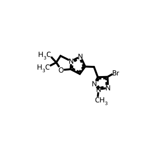 Cn1nc(Br)c(Cc2cc3n(n2)CC(C)(C)O3)n1